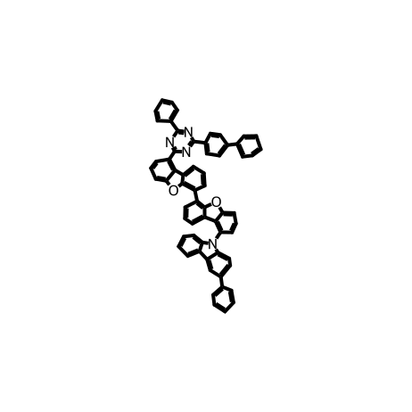 c1ccc(-c2ccc(-c3nc(-c4ccccc4)nc(-c4cccc5oc6c(-c7cccc8c7oc7cccc(-n9c%10ccccc%10c%10cc(-c%11ccccc%11)ccc%109)c78)cccc6c45)n3)cc2)cc1